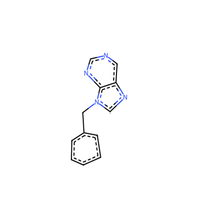 [c]1nc2cncnc2n1Cc1ccccc1